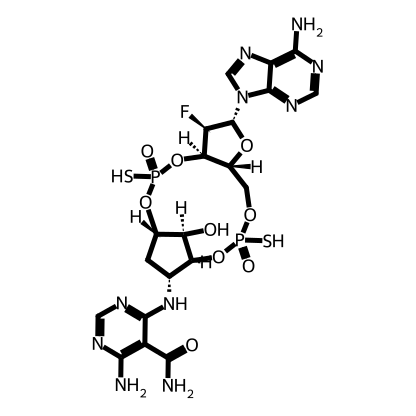 NC(=O)c1c(N)ncnc1N[C@@H]1C[C@@H]2OP(=O)(S)O[C@H]3[C@@H](F)[C@H](n4cnc5c(N)ncnc54)O[C@@H]3COP(=O)(S)O[C@@H]1[C@@H]2O